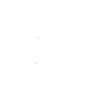 C=C(/C(C)=C(/N)C1=C(C)CCC1)C(C)(C)C